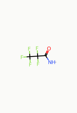 [NH]C(=O)C(F)(F)C(F)(F)F